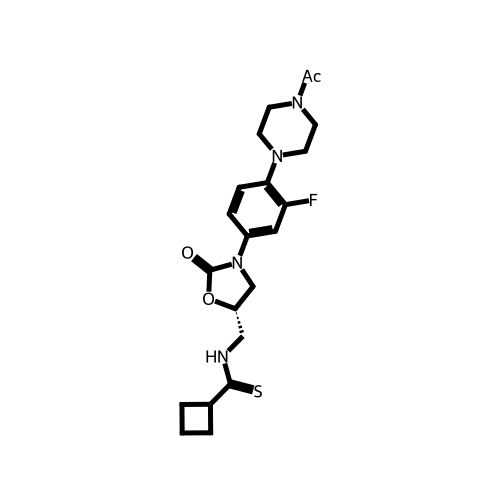 CC(=O)N1CCN(c2ccc(N3C[C@H](CNC(=S)C4CCC4)OC3=O)cc2F)CC1